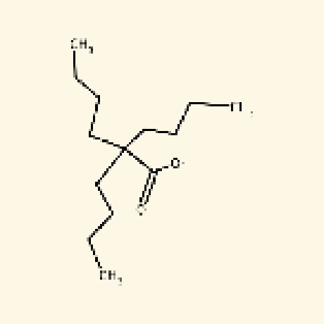 CCCCC(CCCC)(CCCC)C([O])=O